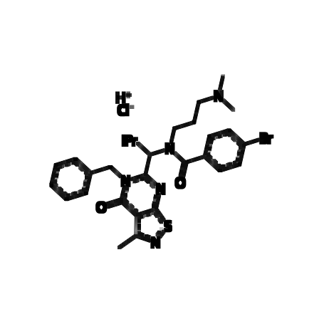 Cc1nsc2nc(C(C(C)C)N(CCCN(C)C)C(=O)c3ccc(Br)cc3)n(Cc3ccccc3)c(=O)c12.[Cl-].[H+]